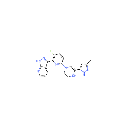 Cc1cc([C@@H]2CN(c3ccc(F)c(-c4n[nH]c5ncccc45)n3)CCN2)[nH]n1